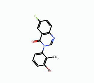 Cc1c(Br)cccc1-n1cnc2ccc(F)cc2c1=O